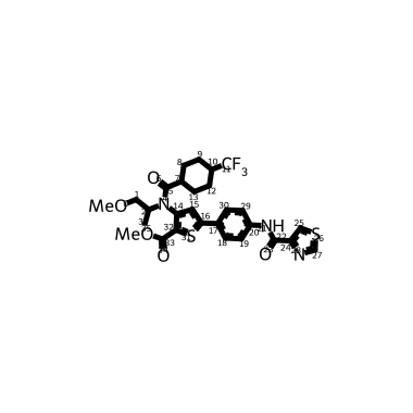 COCC(C)N(C(=O)C1CCC(C(F)(F)F)CC1)c1cc(-c2ccc(NC(=O)c3cscn3)cc2)sc1C(=O)OC